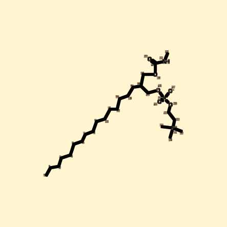 CCCCCCCCCCCCCCCCC(COC(=O)NC)COP(=O)([O-])OCC[N+](C)(C)C